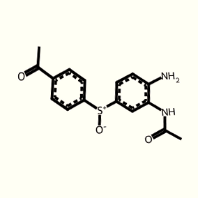 CC(=O)Nc1cc([S+]([O-])c2ccc(C(C)=O)cc2)ccc1N